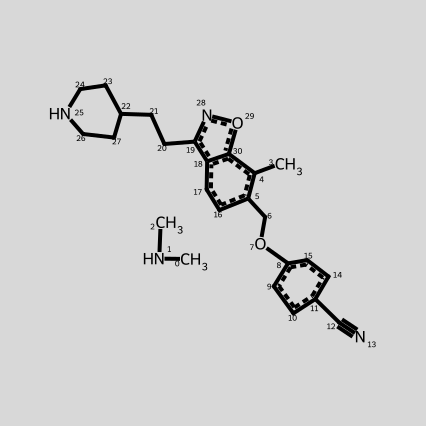 CNC.Cc1c(COc2ccc(C#N)cc2)ccc2c(CCC3CCNCC3)noc12